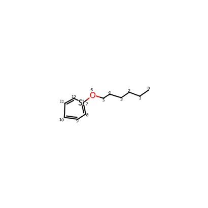 CCCCCCO[si]1ccccc1